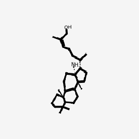 C/C(=C/CCC(C)[C@@H]1CC[C@]2(C)C3=C(CC[C@@]12N)[C@@]1(C)CCCC(C)(C)C1CC3)CO